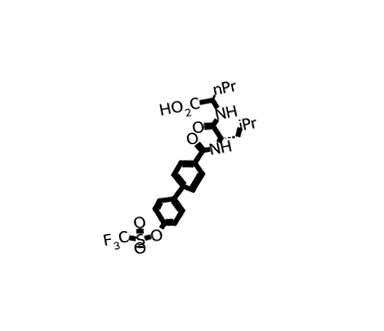 CCC[C@H](NC(=O)[C@H](CC(C)C)NC(=O)c1ccc(-c2ccc(OS(=O)(=O)C(F)(F)F)cc2)cc1)C(=O)O